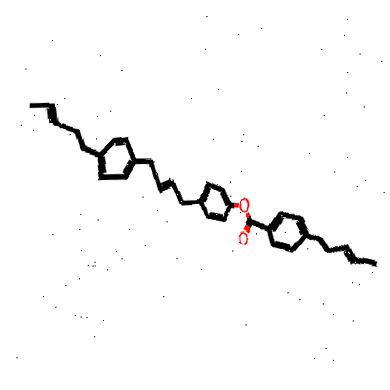 C/C=C/CCc1ccc(C/C=C/Cc2ccc(OC(=O)c3ccc(CC/C=C/C)cc3)cc2)cc1